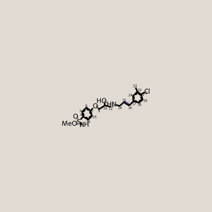 COS(=N)(=O)c1ccc(OCC(O)CNC/C=C/c2ccc(Cl)c(C)c2)cc1